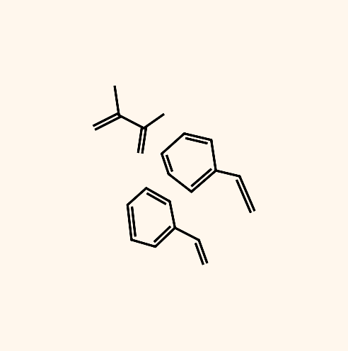 C=C(C)C(=C)C.C=Cc1ccccc1.C=Cc1ccccc1